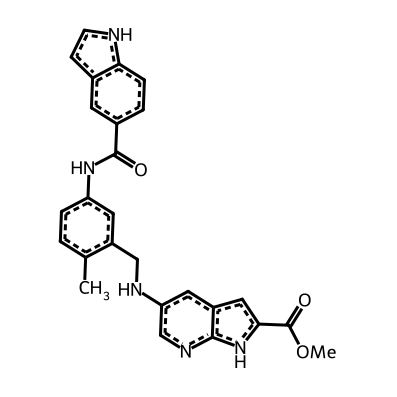 COC(=O)c1cc2cc(NCc3cc(NC(=O)c4ccc5[nH]ccc5c4)ccc3C)cnc2[nH]1